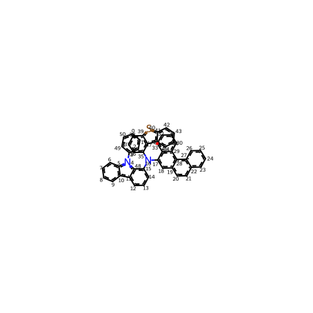 c1ccc(-n2c3ccccc3c3cccc(N(c4cc5ccc6ccccc6c5c5ccccc45)c4cccc5sc6ccccc6c45)c32)cc1